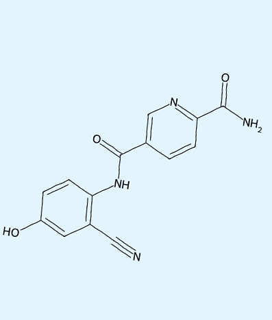 N#Cc1cc(O)ccc1NC(=O)c1ccc(C(N)=O)nc1